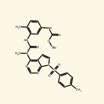 Cc1ccc(S(=O)(=O)n2ccc3c(N(C)C(=O)Nc4cc(NC(=O)OC(C)(C)C)ccc4C)ncnc32)cc1